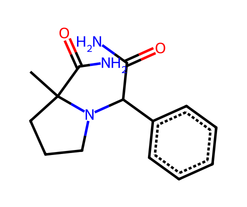 CC1(C(N)=O)CCCN1C(C(N)=O)c1ccccc1